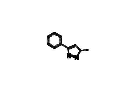 CC1C=C(c2ccccc2)N=N1